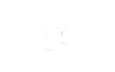 O=[PH]([O-])O[PH](=O)[O-].OCCCl.[Pd+2]